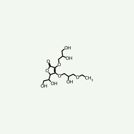 CCOCC(O)COC1=C(OCC(O)CO)C(=O)OC1C(O)CO